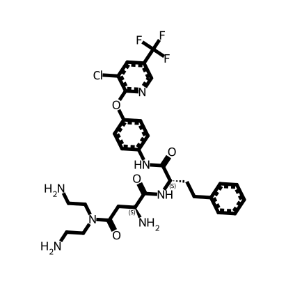 NCCN(CCN)C(=O)C[C@H](N)C(=O)N[C@@H](CCc1ccccc1)C(=O)Nc1ccc(Oc2ncc(C(F)(F)F)cc2Cl)cc1